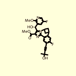 COC(=O)c1nc2n(c1[C@H](O)c1cc(F)cnc1OC)C1CC(C1)c1cc(F)c(C#CC(C)(C)O)cc1-2